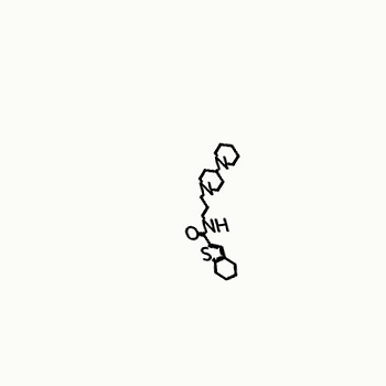 O=C(NCCCN1CCC(N2CCCCC2)CC1)c1cc2c(s1)CCCC2